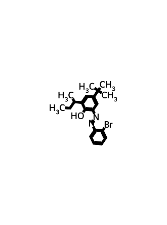 CCC(C)c1cc(C(C)(C)C)cc(/N=N/c2ccccc2Br)c1O